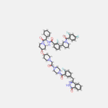 O=C(N[C@@H](C(=O)N1CCC(OC2CCN(CC(=O)N3CCN(C(=O)c4cc(Cc5n[nH]c(=O)c6ccccc56)ccc4F)CC3)CC2)CC1)C1CCCCC1)c1cccc(C2CCCN(C(=O)c3ccc(F)cc3F)C2)c1F